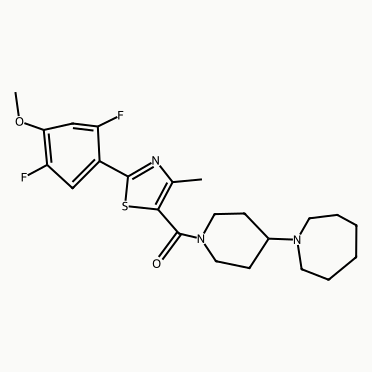 COc1cc(F)c(-c2nc(C)c(C(=O)N3CCC(N4CCCCCC4)CC3)s2)cc1F